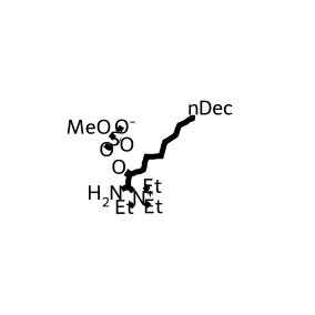 CCCCCCCCCCCCCCCCCC(=O)C(N)[N+](CC)(CC)CC.COS(=O)(=O)[O-]